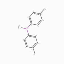 CCP(c1ccc(C)cc1)c1ccc(C)cc1